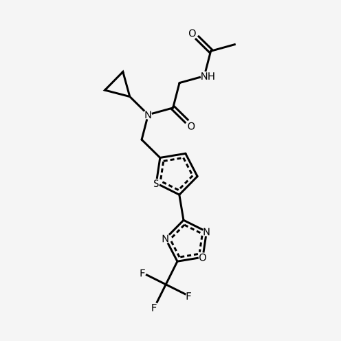 CC(=O)NCC(=O)N(Cc1ccc(-c2noc(C(F)(F)F)n2)s1)C1CC1